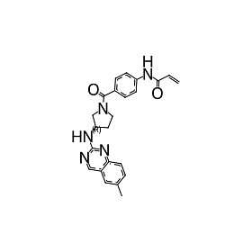 C=CC(=O)Nc1ccc(C(=O)N2CC[C@@H](Nc3ncc4cc(C)ccc4n3)C2)cc1